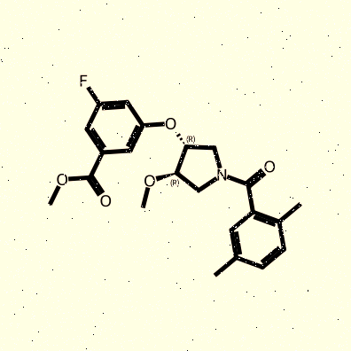 COC(=O)c1cc(F)cc(O[C@@H]2CN(C(=O)c3cc(C)ccc3C)C[C@H]2OC)c1